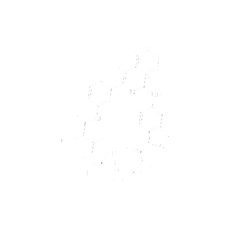 CC(C(=O)Nc1cccc(-c2nc(Nc3ccc4c(cnn4C(=O)OC(C)(C)C)c3)c3ccccc3n2)c1)C(=O)OC(C)(C)C